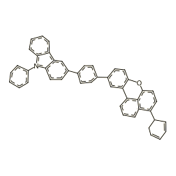 C1=CCC(c2ccc3c4c(cccc24)-c2cc(-c4ccc(-c5ccc6c(c5)c5ccccc5n6-c5ccccc5)cc4)ccc2O3)C=C1